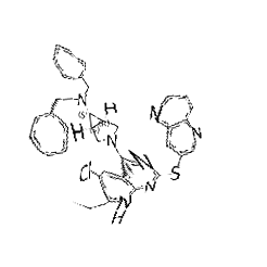 CCc1[nH]c2nc(Sc3cnc4cccnc4c3)nc(N3C[C@@H]4[C@H](C3)[C@H]4N(Cc3ccccc3)Cc3ccccc3)c2c1Cl